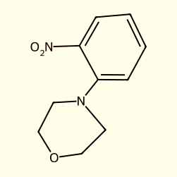 O=[N+]([O-])c1ccccc1N1CCOCC1